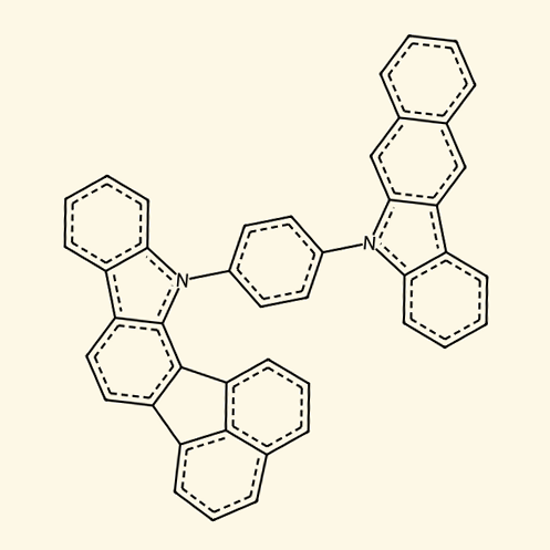 c1ccc2cc3c(cc2c1)c1ccccc1n3-c1ccc(-n2c3ccccc3c3ccc4c(c32)-c2cccc3cccc-4c23)cc1